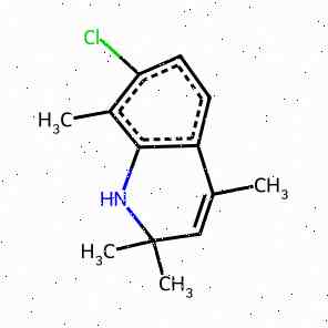 CC1=CC(C)(C)Nc2c1ccc(Cl)c2C